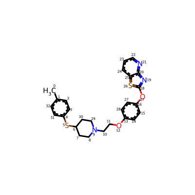 Cc1ccc(SC2CCN(CCOc3ccc(Oc4nc5ncccc5s4)cc3)CC2)cc1